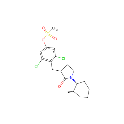 C[C@@H]1CCCC[C@@H]1N1CCC(Cc2c(Cl)cc(OS(=O)(=O)C(F)(F)F)cc2Cl)C1=O